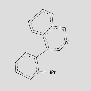 CC(C)c1ccccc1-c1cncc2ccccc12